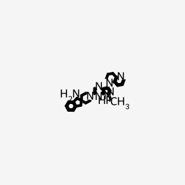 CPn1nc(N2CCCc3ncccc32)c2ncc(N3CCC4(CC3)Cc3ccccc3[C@H]4N)nc21